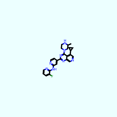 CC1CN(c2nc(-c3ccnc(Nc4ncccc4F)c3)nc3cncc(C4CC4)c23)CCN1